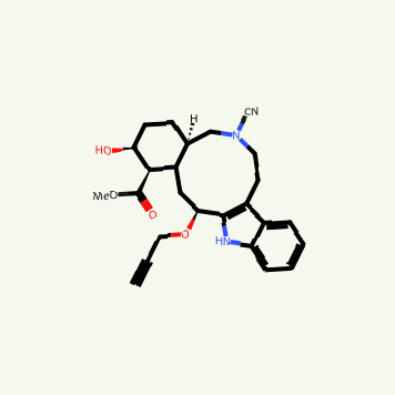 C#CCO[C@H]1CC2[C@@H](CC[C@H](O)[C@@H]2C(=O)OC)CN(C#N)CCc2c1[nH]c1ccccc21